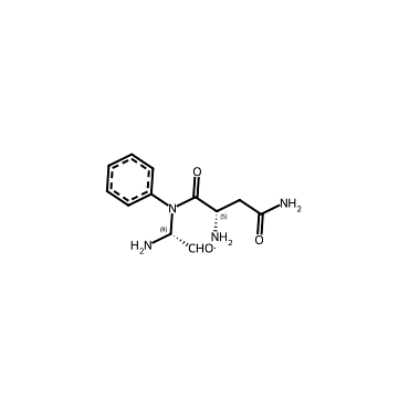 NC(=O)C[C@H](N)C(=O)N(c1ccccc1)[C@@H](N)[C]=O